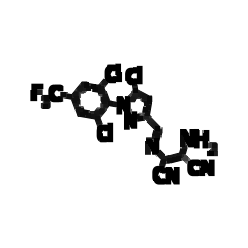 N#CC(N)=C(C#N)N=Cc1cc(Cl)n(-c2c(Cl)cc(C(F)(F)F)cc2Cl)n1